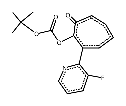 CC(C)(C)OC(=O)Oc1c(-c2ncccc2F)ccccc1=O